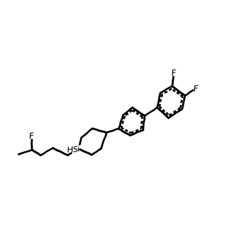 CC(F)CCC[SiH]1CCC(c2ccc(-c3ccc(F)c(F)c3)cc2)CC1